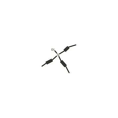 CC#C[Si](C#CC)(C#CC)CC